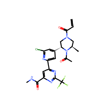 C=CC(=O)N1C[C@@H](C)N(C(C)=O)[C@H](c2cc(Cl)nc(-c3cc(C(=O)NC)nc(C(F)(F)F)n3)c2)C1